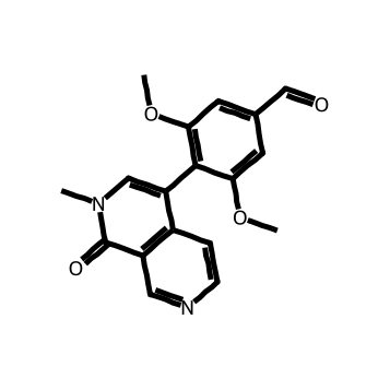 COc1cc(C=O)cc(OC)c1-c1cn(C)c(=O)c2cnccc12